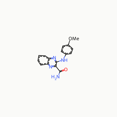 COc1ccc(Nc2nc3ccccc3nc2C(N)=O)cc1